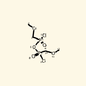 COCP(=O)(Cl)OP(=O)(Cl)COC